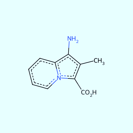 Cc1c(N)c2ccccn2c1C(=O)O